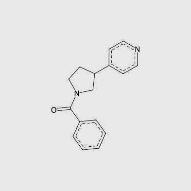 O=C(c1ccccc1)N1CCC(c2ccncc2)C1